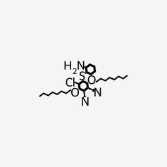 CCCCCCCCOc1c(Cl)c(Sc2ccccc2N)c(OCCCCCCCC)c(C#N)c1C#N